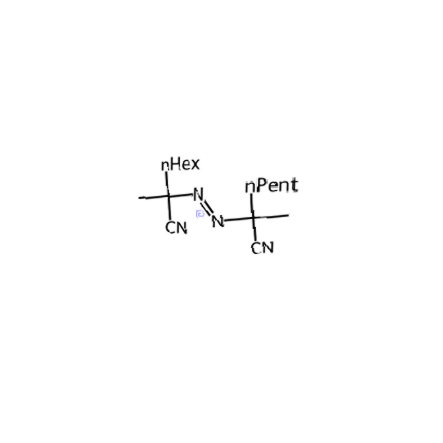 CCCCCCC(C)(C#N)/N=N/C(C)(C#N)CCCCC